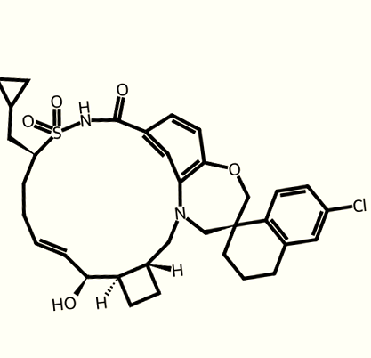 O=C1NS(=O)(=O)[C@H](CC2CC2)CC/C=C/[C@H](O)[C@@H]2CC[C@H]2CN2C[C@@]3(CCCc4cc(Cl)ccc43)COc3ccc1cc32